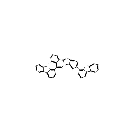 c1ccc2c(c1)oc1c(-c3ccc4nc5c6ccccc6c(-c6cccc7c6oc6ccccc67)cn5c4c3)cccc12